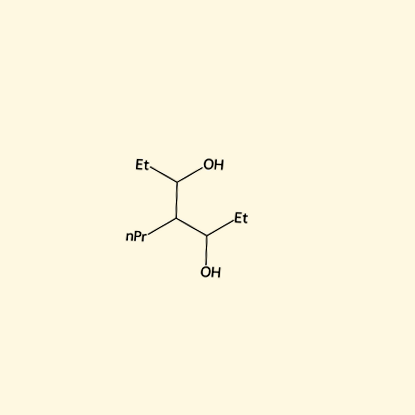 [CH2]CC(O)C(CCC)C(O)CC